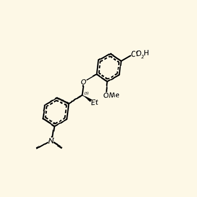 CC[C@H](Oc1ccc(C(=O)O)cc1OC)c1cccc(N(C)C)c1